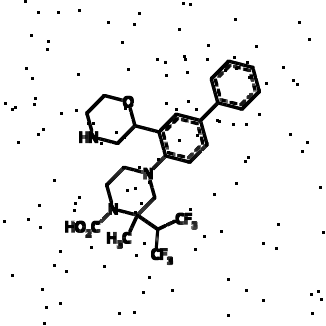 CC1(C(C(F)(F)F)C(F)(F)F)CN(c2ccc(-c3ccccc3)cc2C2CNCCO2)CCN1C(=O)O